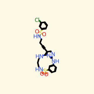 O=S(=O)(NCCC#Cc1cnc2nc1NCCCNS(=O)(=O)c1cccc(c1)N2)c1cccc(Cl)c1